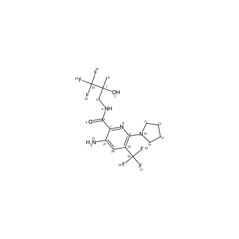 CC(O)(CNC(=O)c1nc(N2CCCC2)c(C(F)(F)F)cc1N)C(F)(F)F